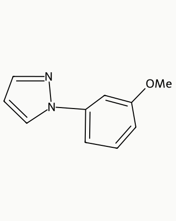 COc1cccc(-n2cccn2)c1